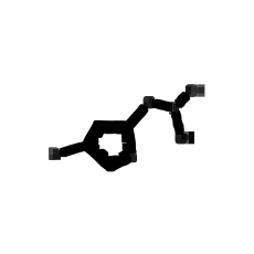 OB(O)Oc1cc(Br)cs1